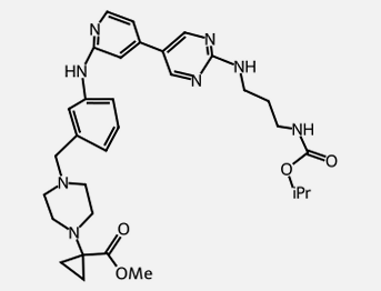 COC(=O)C1(N2CCN(Cc3cccc(Nc4cc(-c5cnc(NCCCNC(=O)OC(C)C)nc5)ccn4)c3)CC2)CC1